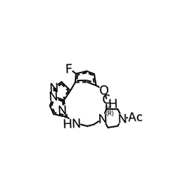 CC(=O)N1CCN2CCNc3ccn4ncc(c4n3)-c3cc(ccc3F)OC[C@H]2C1